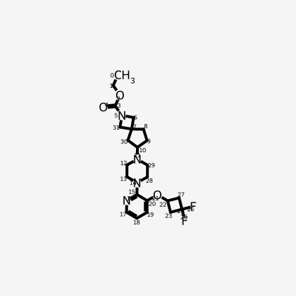 CCOC(=O)N1CC2(CCC(N3CCN(c4ncccc4OC4CC(F)(F)C4)CC3)C2)C1